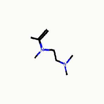 C=C(C)N(C)CCN(C)C